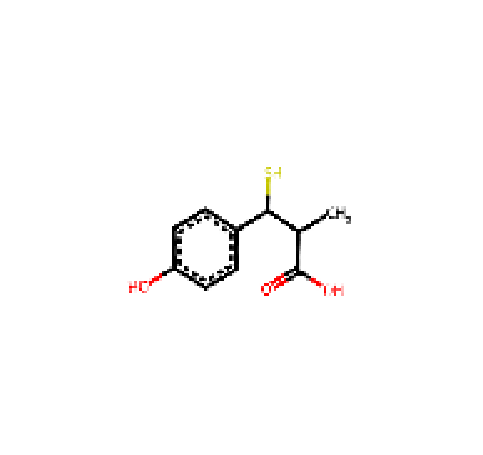 CC(C(=O)O)C(S)c1ccc(O)cc1